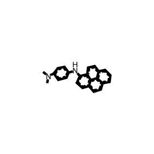 CN(C)c1ccc(Nc2ccc3ccc4cccc5ccc2c3c45)cc1